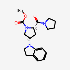 CC(C)(C)OC(=O)N1C[C@@H](N2CCc3ccccc32)C[C@H]1C(=O)N1CCCC1